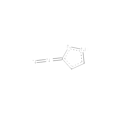 [N-]=[N+]=c1cc[nH][nH]1